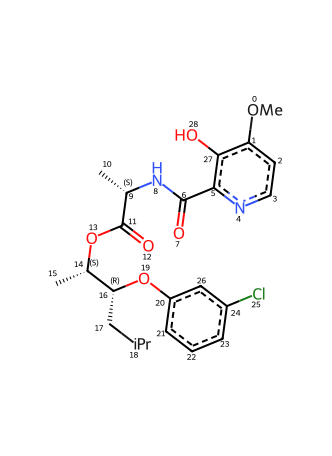 COc1ccnc(C(=O)N[C@@H](C)C(=O)O[C@@H](C)[C@@H](CC(C)C)Oc2cccc(Cl)c2)c1O